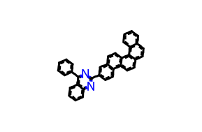 c1ccc(-c2nc(-c3ccc4c(ccc5c4ccc4ccc6ccccc6c45)c3)nc3ccccc23)cc1